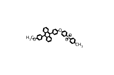 COc1ccc(-c2c3ccccc3c(-c3ccc(Oc4ccc(S(=O)(=O)c5ccc(C)cc5)cc4)cc3)c3ccccc23)cc1